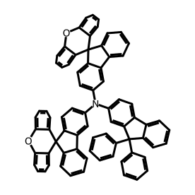 c1ccc(C2(c3ccccc3)c3ccccc3-c3ccc(N(c4ccc5c(c4)-c4ccccc4C54c5ccccc5Oc5ccccc54)c4ccc5c(c4)-c4ccccc4C54c5ccccc5Oc5ccccc54)cc32)cc1